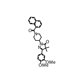 COc1ccc(C2=NN(C3CCN(C(=O)c4cccc5ccccc45)CC3)C(=O)C2(C)C)cc1OC